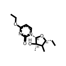 CCOc1ccn([C@@H]2O[C@H](CC)C(C)[C@@]2(C)O)c(=O)n1